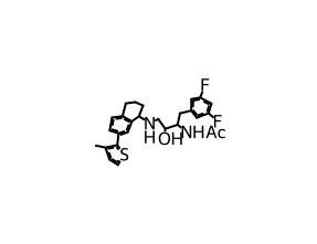 CC(=O)NC(Cc1cc(F)cc(F)c1)C(O)CNC1CCCc2ccc(-c3sccc3C)cc21